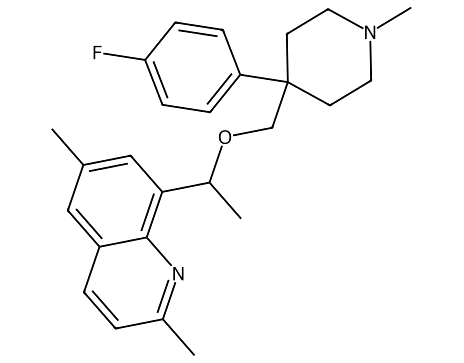 Cc1cc(C(C)OCC2(c3ccc(F)cc3)CCN(C)CC2)c2nc(C)ccc2c1